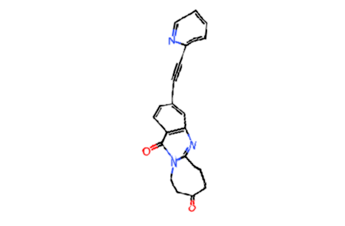 O=C1CCc2nc3cc(C#Cc4ccccn4)ccc3c(=O)n2CC1